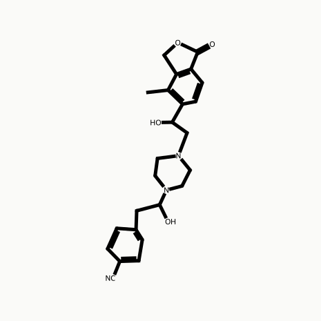 Cc1c(C(O)CN2CCN(C(O)Cc3ccc(C#N)cc3)CC2)ccc2c1COC2=O